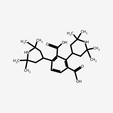 CC1(C)CC(c2ccc(C(=O)O)c(C3CC(C)(C)NC(C)(C)C3)c2C(=O)O)CC(C)(C)N1